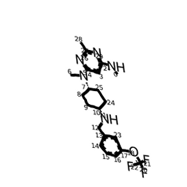 CNc1cc(N(C)[C@H]2CC[C@@H](NCc3cccc(OC(F)(F)F)c3)CC2)nc(C)n1